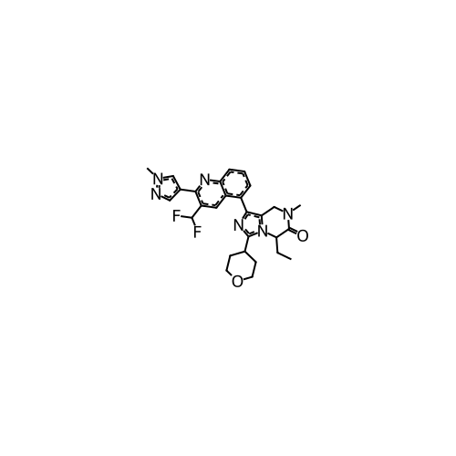 CCC1C(=O)N(C)Cc2c(-c3cccc4nc(-c5cnn(C)c5)c(C(F)F)cc34)nc(C3CCOCC3)n21